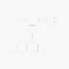 Cc1noc(C(=O)c2sc(N(c3ccc(F)cc3)[C@H](C)C(N)=O)nc2N)n1